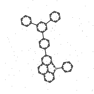 c1ccc(-c2cc(-c3ccccc3)cc(-c3ccc(-c4cc5ccc6cccc7c6c5c(c4)n7-c4ccccc4)cc3)c2)cc1